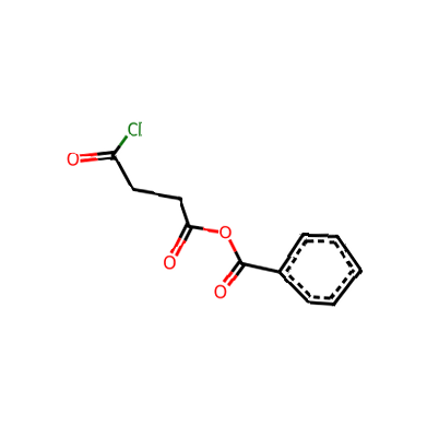 O=C(Cl)CCC(=O)OC(=O)c1ccccc1